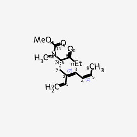 C=C/C(=C\C=C/C)C[C@@H](C(=O)CC)N(C)C(=O)OC